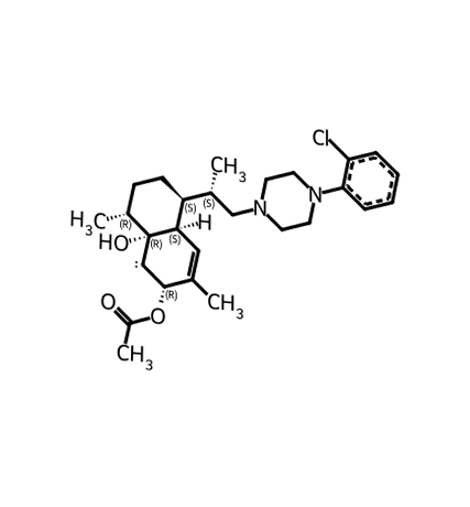 CC(=O)O[C@@H]1[C][C@@]2(O)[C@H](C)CC[C@@H]([C@H](C)CN3CCN(c4ccccc4Cl)CC3)[C@H]2C=C1C